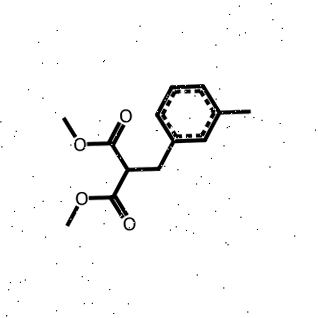 COC(=O)C(Cc1cccc(C)c1)C(=O)OC